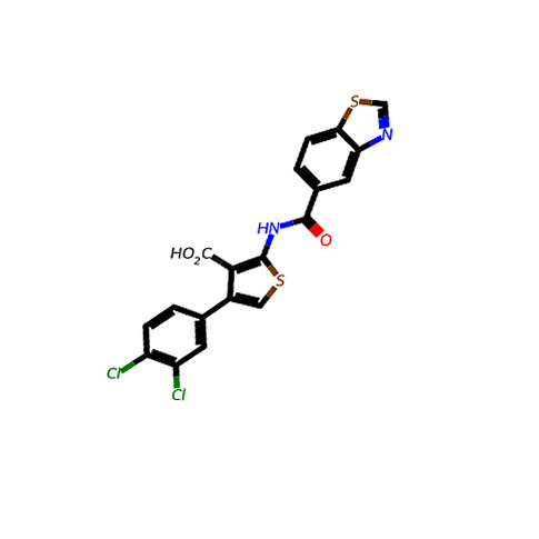 O=C(Nc1scc(-c2ccc(Cl)c(Cl)c2)c1C(=O)O)c1ccc2scnc2c1